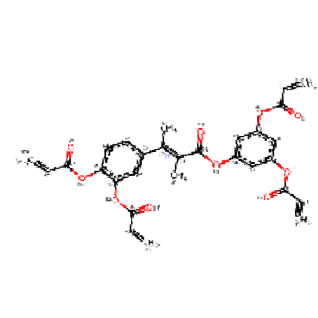 C=CC(=O)Oc1cc(OC(=O)C=C)cc(OC(=O)/C(C)=C(\C)c2ccc(OC(=O)C=C)c(OC(=O)C=C)c2)c1